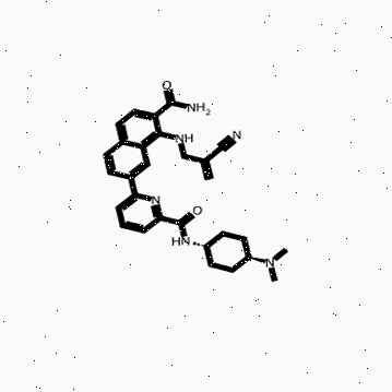 C=C(C#N)CNc1c(C(N)=O)ccc2ccc(-c3cccc(C(=O)N[C@H]4CC[C@H](N(C)C)CC4)n3)cc12